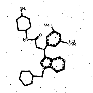 COc1cc(OC)cc(C(CC(=O)NC2CCC(N)CC2)c2cn(CC3CCCCC3)c3ccccc23)c1.Cl